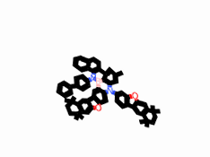 Cc1cc2c3c(c1)N(c1ccc4c(c1)oc1cc5c(cc14)C(C)(C)CCC5(C)C)c1cc4oc5cc6c(cc5c4cc1B3N(c1ccc(-c3ccccc3)cc1)c1c-2ccc2ccccc12)C(C)(C)CCC6(C)C